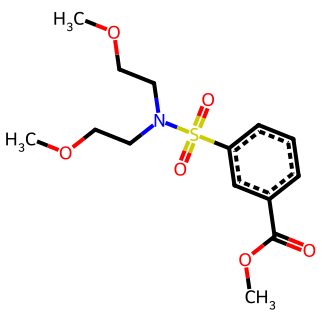 COCCN(CCOC)S(=O)(=O)c1cccc(C(=O)OC)c1